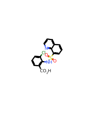 O=C(O)c1cccc(Cl)c1NS(=O)(=O)c1cccc2cccnc12